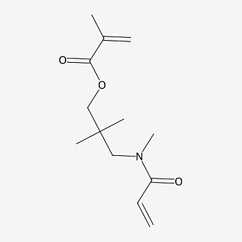 C=CC(=O)N(C)CC(C)(C)COC(=O)C(=C)C